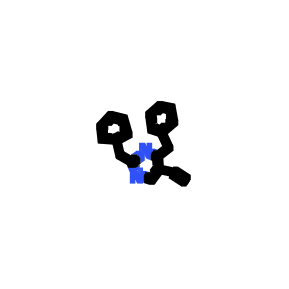 C#Cc1cnc(Cc2ccccc2)nc1Cc1ccccc1